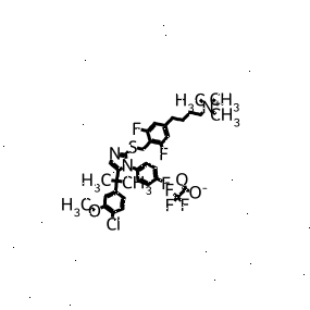 COc1cc(C(C)(C)c2cnc(SCc3c(F)cc(CCCC[N+](C)(C)C)cc3F)n2-c2ccc(F)cc2)ccc1Cl.O=C([O-])C(F)(F)F